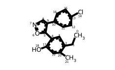 CCc1cc(-c2oncc2-c2ccc(Cl)cc2)c(O)cc1C